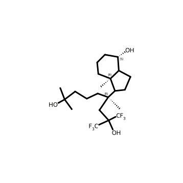 CC(C)(O)CCC[C@](C)(CC(O)(C(F)(F)F)C(F)(F)F)C1CCC2[C@@H](O)CCC[C@@]21C